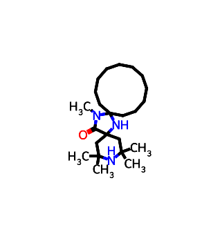 CN1C(=O)C2(CC(C)(C)NC(C)(C)C2)NC12CCCCCCCCCCC2